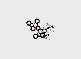 CC(C)(C)c1nc(-c2cc(-c3ccccc3-n3c4ccccc4c4ccccc43)ccc2N2C3=CC=CCC3c3ccccc32)nc(C(C)(C)C)n1